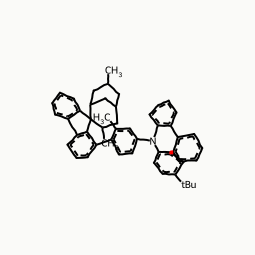 Cc1cc(N(c2ccc(C(C)(C)C)cc2)c2ccccc2-c2ccccc2)ccc1-c1cccc2c1C1(c3ccccc3-2)C(C)CC2CC(C)CC1C2